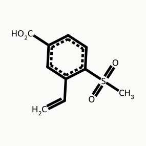 C=Cc1cc(C(=O)O)ccc1S(C)(=O)=O